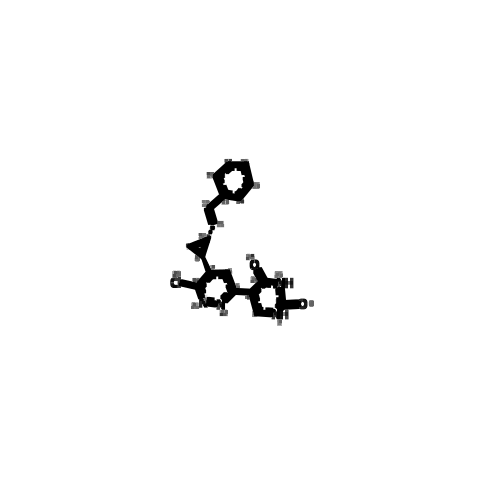 O=c1[nH]cc(-c2cc([C@H]3C[C@@H]3/C=C/c3ccccc3)c(Cl)nn2)c(=O)[nH]1